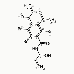 C=CC(O)NC(=O)c1c(Br)c(Br)c(C(O)C=C)c(C(N)=O)c1Br